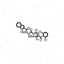 CC(C)(C)C(NC(=O)c1cc2ccccc2[nH]1)C(=O)N1C[C@@H]2C[C@H]1CN2C(=O)c1c(Cl)cccc1Cl